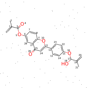 C=C(C)C(=O)Oc1ccc2oc(-c3ccc(OC(O)C(=C)C)cc3)cc(=O)c2c1